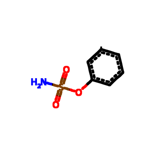 NS(=O)(=O)Oc1c[c]ccc1